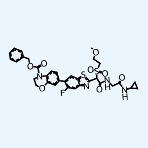 COCCS(=O)(=O)C(C(=O)NCC(=O)NC1CC1)c1nc2cc(F)c(-c3ccc4c(c3)OCCN4C(=O)OCc3ccccc3)cc2s1